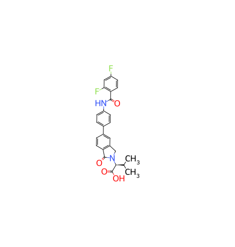 CC(C)[C@@H](C(=O)O)N1Cc2cc(-c3ccc(NC(=O)c4ccc(F)cc4F)cc3)ccc2C1=O